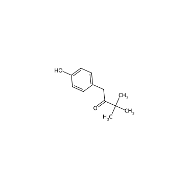 CC(C)(C)C(=O)Cc1ccc(O)cc1